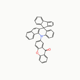 O=c1c2ccccc2oc2ccc(N3c4ccccc4C4(c5ccccc5-c5ccccc54)c4ccc5ccccc5c43)cc12